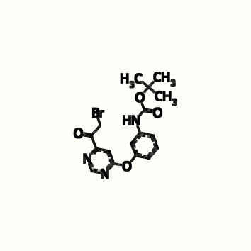 CC(C)(C)OC(=O)Nc1cccc(Oc2cc(C(=O)CBr)ncn2)c1